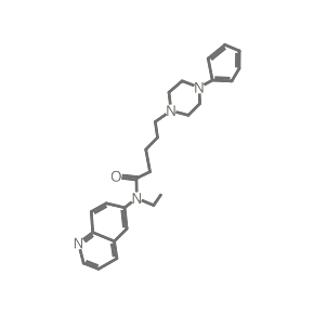 CCN(C(=O)CCCCN1CCN(c2ccccc2)CC1)c1ccc2ncccc2c1